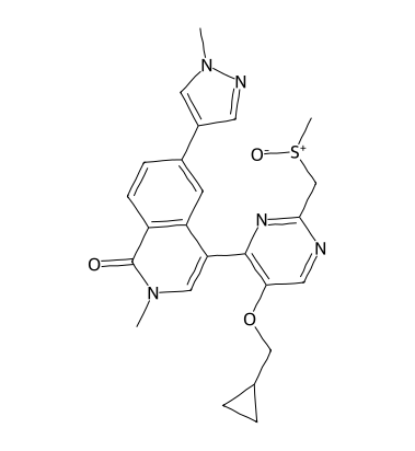 Cn1cc(-c2ccc3c(=O)n(C)cc(-c4nc(C[S+](C)[O-])ncc4OCC4CC4)c3c2)cn1